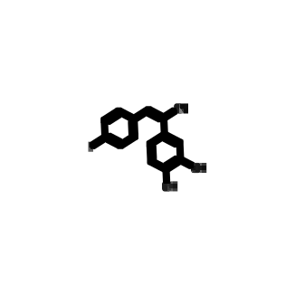 N#CC(=Cc1ccc(I)cc1)c1ccc(O)c(O)c1